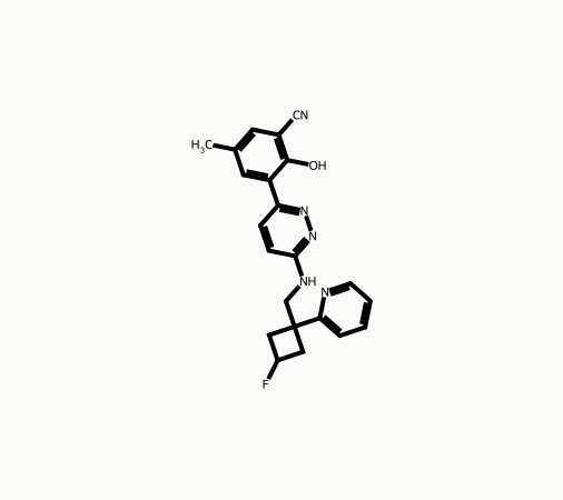 Cc1cc(C#N)c(O)c(-c2ccc(NCC3(c4ccccn4)CC(F)C3)nn2)c1